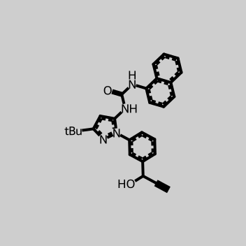 C#CC(O)c1cccc(-n2nc(C(C)(C)C)cc2NC(=O)Nc2cccc3ccccc23)c1